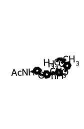 C/C=C\C(C)(C)c1cccc(Oc2ccc(C(C)(CCC)c3ccc(Oc4cccc(NC(C)=O)c4)cc3)cc2)c1